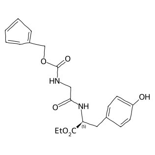 CCOC(=O)[C@H](Cc1ccc(O)cc1)NC(=O)CNC(=O)OCc1ccccc1